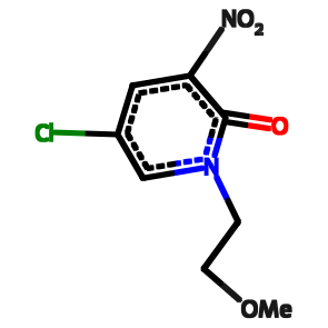 COCCn1cc(Cl)cc([N+](=O)[O-])c1=O